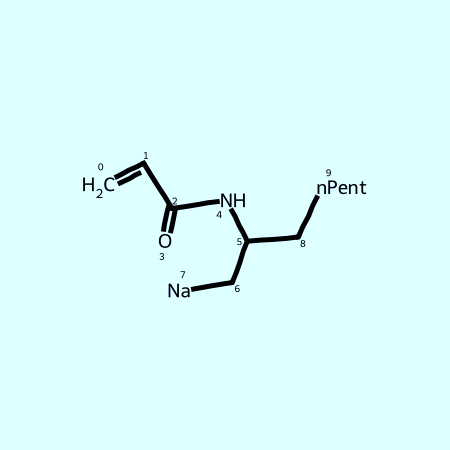 C=CC(=O)NC([CH2][Na])CCCCCC